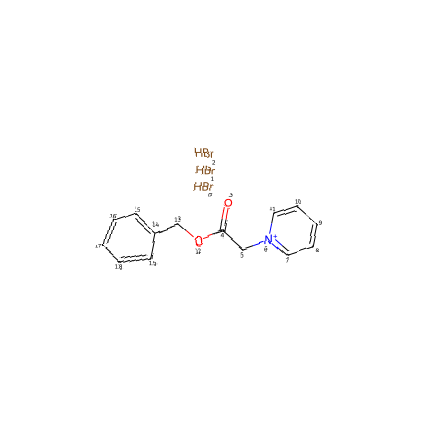 Br.Br.Br.O=C(C[n+]1ccccc1)OCc1ccccc1